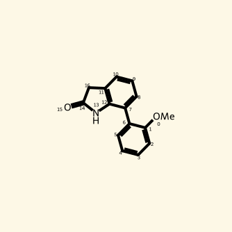 COc1ccccc1-c1cccc2c1NC(=O)C2